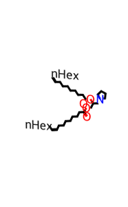 CCCCCC/C=C\CCCCCCCC(=O)OCC(CN1CCCC1)OC(=O)CCCCCCC/C=C\CCCCCC